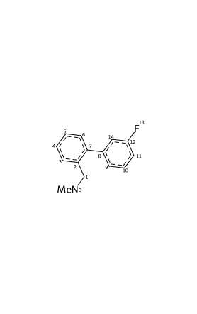 CNCc1ccccc1-c1cccc(F)c1